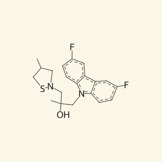 CC1CSN(CC(C)(O)Cn2c3ccc(F)cc3c3cc(F)ccc32)C1